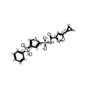 O=C(NS(=O)(=O)c1cc(S(=O)(=O)c2ccccc2)cs1)c1cc(C2CC2)on1